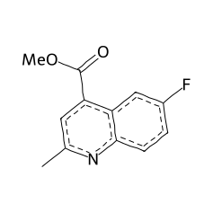 COC(=O)c1cc(C)nc2ccc(F)cc12